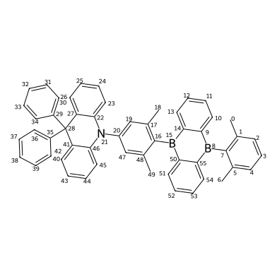 Cc1cccc(C)c1B1c2ccccc2B(c2c(C)cc(N3c4ccccc4C(c4ccccc4)(c4ccccc4)c4ccccc43)cc2C)c2ccccc21